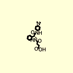 CN(C)c1ccc(NC(=O)[C@H](CNC(=O)CCC(=O)O)c2ccccc2)cc1